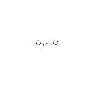 COc1ccc(-c2nc(NC(=O)c3ccc(Cl)nc3)sc2C#N)cc1